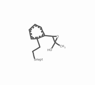 CCCCCCCCCc1ccccc1C1OC1(C)O